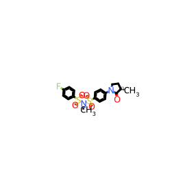 C[C@H]1CCN(c2ccc(S(=O)(=O)N(C)S(=O)(=O)c3ccc(F)cc3)cc2)C1=O